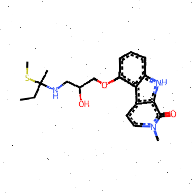 CCC(C)(NCC(O)COc1cccc2[nH]c3c(=O)n(C)ccc3c12)SC